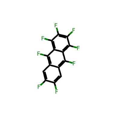 Fc1cc2c(F)c3c(F)c(F)c(F)c(F)c3c(F)c2cc1F